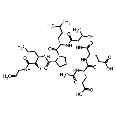 C=CCNC(=O)C(=O)C(CCC)NC(=O)[C@@H]1CCCN1C(=O)[C@H](CCC(C)C)NC(=O)[C@@H](NC(=O)[C@H](CCC(=O)O)NC(=O)[C@H](CCC(=O)O)NC(C)=O)C(C)C